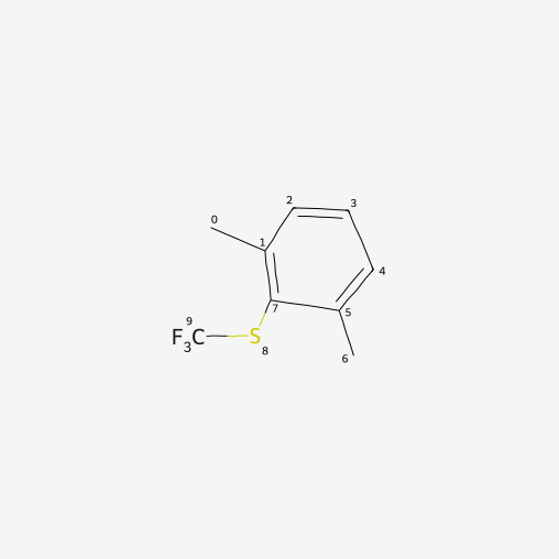 Cc1cccc(C)c1SC(F)(F)F